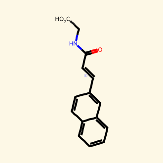 O=C(O)CNC(=O)/C=C/c1ccc2ccccc2c1